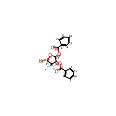 C[C@@]1(F)[C@H](OC(=O)c2ccccc2)[C@H](OC(=O)c2ccccc2)O[C@@H]1Br